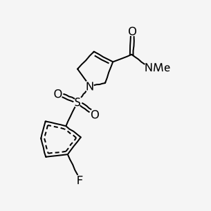 CNC(=O)C1=CCN(S(=O)(=O)c2cccc(F)c2)C1